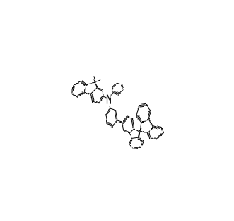 CC1(C)c2ccccc2-c2ccc(N(c3ccccc3)c3cccc(-c4ccc5c(c4)-c4ccccc4C54c5ccccc5-c5ccccc54)c3)cc21